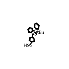 CC(C)(C)[Si](OCc1ccc(SS)cc1)(c1ccccc1)c1ccccc1